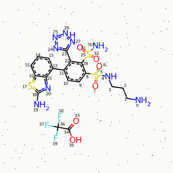 NCCCNS(=O)(=O)c1ccc(-c2cccc3sc(N)nc23)c(-c2nnn[nH]2)c1S(N)(=O)=O.O=C(O)C(F)(F)F